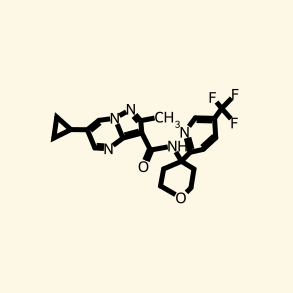 Cc1nn2cc(C3CC3)cnc2c1C(=O)NC1(c2ccc(C(F)(F)F)cn2)CCOCC1